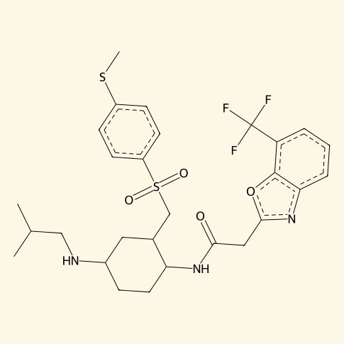 CSc1ccc(S(=O)(=O)CC2CC(NCC(C)C)CCC2NC(=O)Cc2nc3cccc(C(F)(F)F)c3o2)cc1